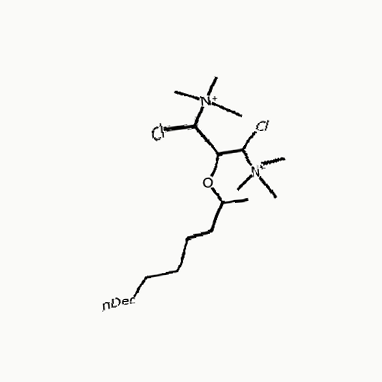 CCCCCCCCCCCCCCC(C)OC(C(Cl)[N+](C)(C)C)C(Cl)[N+](C)(C)C